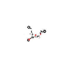 CCCC(NC(=O)[C@@H]1C[C@@H](OCc2ccccc2)CN1C(=O)[C@H](CCCNC(=O)c1ccc(C(=O)O)cc1)NC(=O)OCC(C)C)C(=O)C(=O)NCC(=O)N[C@H](C(N)=O)c1ccccc1